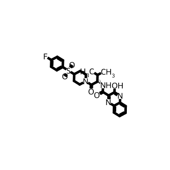 CC(C)[C@H](NC(=O)c1nc2ccccc2nc1O)C(=O)N1CCC(S(=O)(=O)c2ccc(F)cc2)CC1